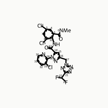 CNC(=O)c1cc(Cl)cc(Cl)c1NC(=O)c1cc(Cn2nnc(C(F)F)n2)nn1-c1ncccc1Cl